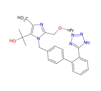 CCCOCc1nc(C(=O)O)c(C(C)(C)O)n1Cc1ccc(-c2ccccc2-c2nnn[nH]2)cc1